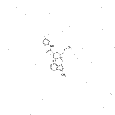 CCCN1CC(C(=O)Nc2nccs2)C[C@@H]2c3cccc4c3c(cn4C)C[C@H]21